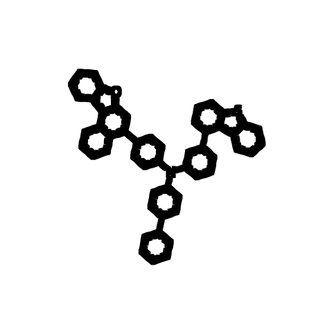 c1ccc(-c2ccc(N(c3ccc(-c4cc5oc6ccccc6c5c5ccccc45)cc3)c3cccc(-c4cccc5sc6ccccc6c45)c3)cc2)cc1